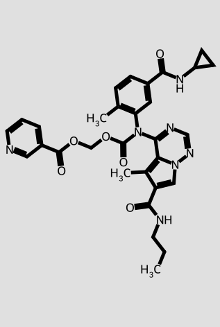 CCCNC(=O)c1cn2ncnc(N(C(=O)OCOC(=O)c3cccnc3)c3cc(C(=O)NC4CC4)ccc3C)c2c1C